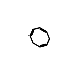 [C]1=C\C=C/C/C=C\C/1